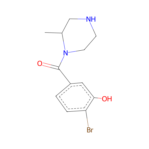 CC1CNCCN1C(=O)c1ccc(Br)c(O)c1